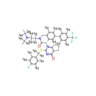 [2H]c1c([2H])c(C([2H])([2H])Sc2nc(=O)c3c(n2CC(=O)N(Cc2c([2H])c([2H])c(-c4c([2H])c([2H])c(C(F)(F)F)c([2H])c4[2H])c([2H])c2C)C([2H])([2H])C([2H])([2H])N(C([2H])([2H])C)C([2H])([2H])C)CCC3)c([2H])c([2H])c1F